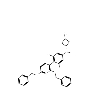 CN(c1cc(F)c(-c2ccc(OCc3ccccc3)nc2OCc2ccccc2)c(F)c1)[C@H]1C[C@H](C(=O)O)C1